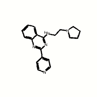 c1ccc2c(NCCN3CCCC3)nc(-c3ccncc3)nc2c1